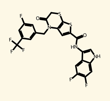 O=C(Nc1c[nH]c2cc(F)c(F)cc12)c1cc2c(s1)SCC(=O)N2Cc1cc(F)cc(C(F)(F)F)c1